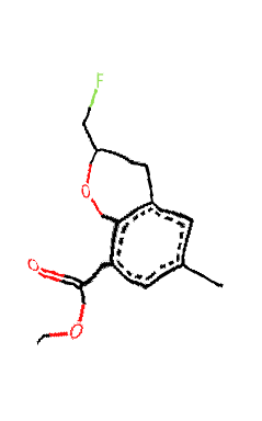 COC(=O)c1cc(C)cc2c1OC(CF)C2